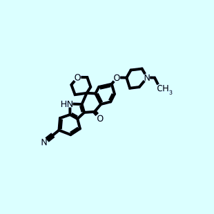 CCN1CCC(Oc2ccc3c(c2)C2(CCOCC2)c2[nH]c4cc(C#N)ccc4c2C3=O)CC1